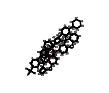 CC(C)(C)c1ccc2c(c1)C1(c3ccccc3Oc3ccc(N(c4ccc5c(c4)C4(c6ccccc6O5)c5cc(C6CCCCC6)ccc5-c5ccc(C6CCCCC6)cc54)c4ccccc4-c4ccccc4)cc31)c1cc(C(C)(C)C)ccc1-2